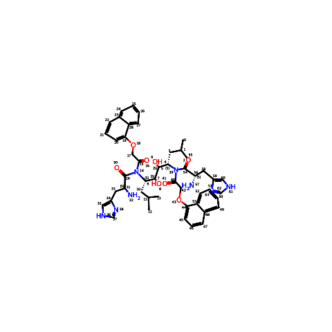 CC(C)C[C@@H]([C@H](O)[C@@H](O)[C@H](CC(C)C)N(C(=O)COc1cccc2ccccc12)C(=O)[C@@H](N)Cc1c[nH]cn1)N(C(=O)COc1cccc2ccccc12)C(=O)[C@@H](N)Cc1c[nH]cn1